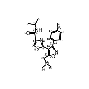 CC(C)NC(=O)c1csc(-c2c(-c3ccc(F)cc3)noc2CN(C)C)n1